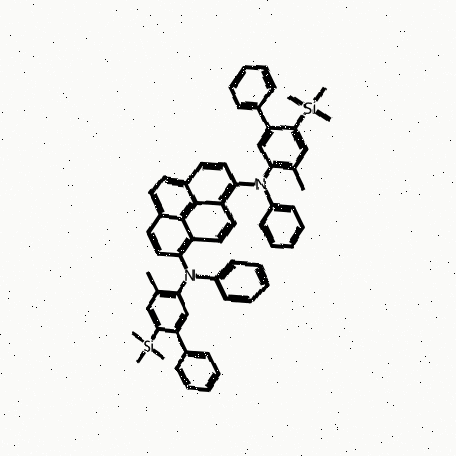 Cc1cc([Si](C)(C)C)c(-c2ccccc2)cc1N(c1ccccc1)c1ccc2ccc3ccc(N(c4ccccc4)c4cc(-c5ccccc5)c([Si](C)(C)C)cc4C)c4ccc1c2c34